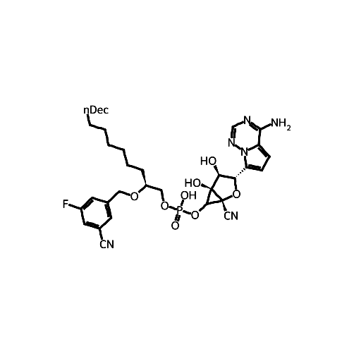 CCCCCCCCCCCCCCCC[C@@H](COP(=O)(O)OC1[C@@]2(C#N)O[C@@H](c3ccc4c(N)ncnn34)[C@H](O)[C@@]12O)OCc1cc(F)cc(C#N)c1